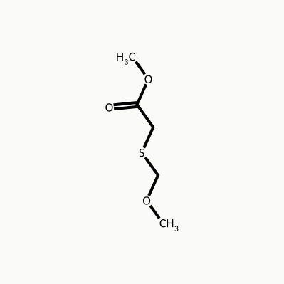 COCSCC(=O)OC